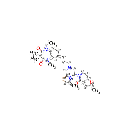 CCN1C(=O)C(C)(C)C(=O)N(C)c2cc(CCCN(CCn3ccc4oc(C)cc4c3=O)Cc3nc(C)cs3)ccc21